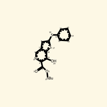 CCCCOC(=O)c1ncc2cc(Sc3ccccc3)sc2c1O